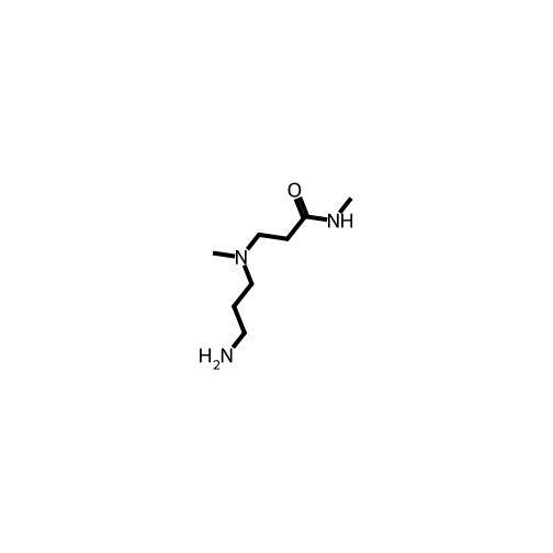 CNC(=O)CCN(C)CCCN